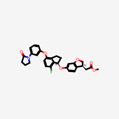 COC(=O)C[C@@H]1COc2cc(O[C@@H]3CCc4c(Oc5cccc(N6CCCC6=O)c5)ccc(F)c43)ccc21